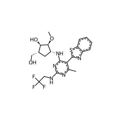 CO[C@@H]1[C@H](O)[C@@H](CO)C[C@H]1Nc1nc(NCC(F)(F)F)nc(C)c1-c1nc2ccccc2s1